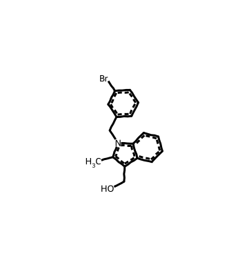 Cc1c(CO)c2ccccc2n1Cc1cccc(Br)c1